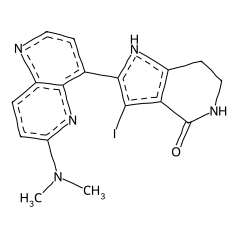 CN(C)c1ccc2nccc(-c3[nH]c4c(c3I)C(=O)NCC4)c2n1